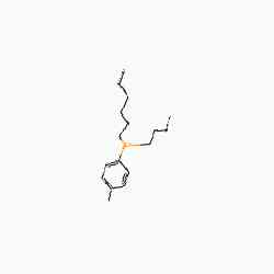 CCCCCCP(CCCC)c1ccc(C)cc1